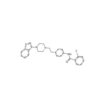 O=C(Nc1ccc(CCN2CCN(c3nsc4ccccc34)CC2)cc1)c1ccccc1F